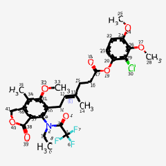 CCN(C(=O)C(F)(F)F)c1c(C/C=C(\C)CCC(=O)Oc2ccc(OC)c(OC)c2Cl)c(OC)c(C)c2c1C(=O)OC2